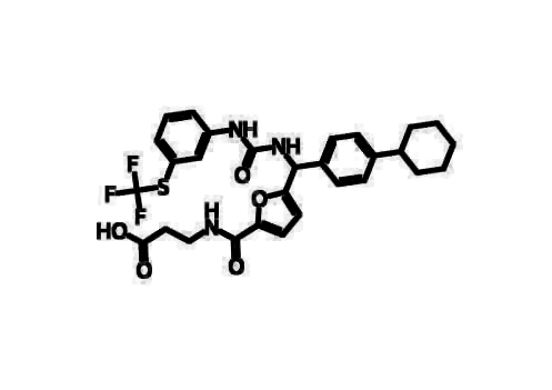 O=C(O)CCNC(=O)c1ccc(C(NC(=O)Nc2cccc(SC(F)(F)F)c2)c2ccc(C3CCCCC3)cc2)o1